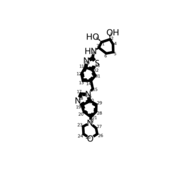 O[C@@H]1[C@H](O)CCC[C@H]1Nc1nc2ccc(Cn3cnc4cc(N5CCOCC5)ccc43)cc2s1